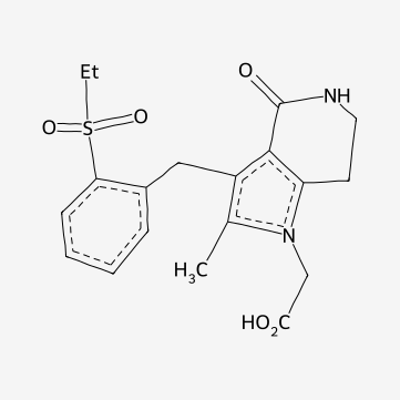 CCS(=O)(=O)c1ccccc1Cc1c2c(n(CC(=O)O)c1C)CCNC2=O